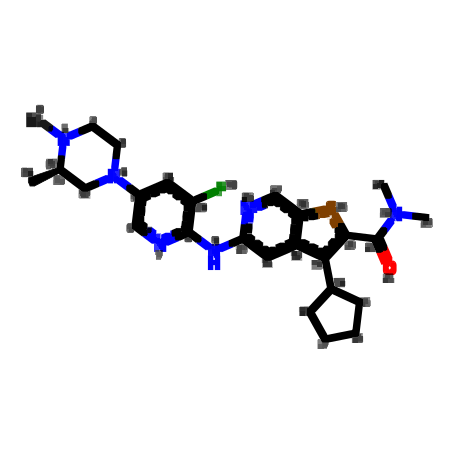 CCN1CCN(c2cnc(Nc3cc4c(C5CCCC5)c(C(=O)N(C)C)sc4cn3)c(F)c2)C[C@H]1C